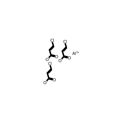 O=C([O-])C=CCl.O=C([O-])C=CCl.O=C([O-])C=CCl.[Al+3]